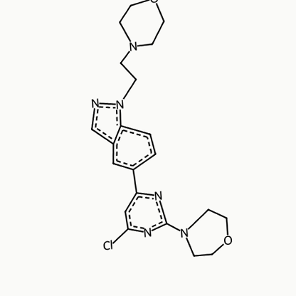 Clc1cc(-c2ccc3c(cnn3CCN3CCOCC3)c2)nc(N2CCOCC2)n1